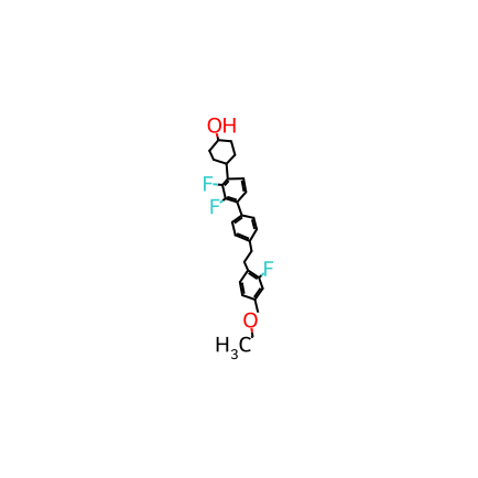 CCOCc1ccc(CCc2ccc(-c3ccc(C4CCC(O)CC4)c(F)c3F)cc2)c(F)c1